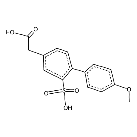 COc1ccc(-c2ccc(CC(=O)O)cc2S(=O)(=O)O)cc1